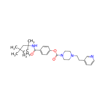 CC(C)(C)CC(C)(C)NC(=O)c1ccc(OC(=O)N2CCN(CCc3cccnc3)CC2)cc1